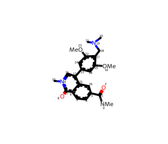 CNC(=O)c1ccc2c(=O)n(C)cc(-c3cc(OC)c(CN(C)C)c(OC)c3)c2c1